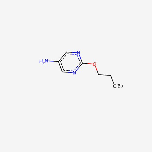 CC(C)COCCOc1ncc(N)cn1